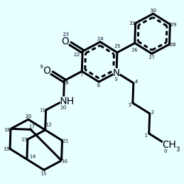 CCCCCn1cc(C(=O)NCC23CC4CC(CC(C4)C2)C3)c(=O)cc1-c1ccccc1